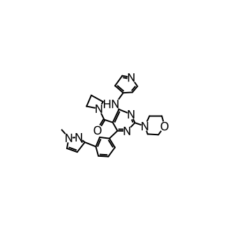 Cn1ccc(-c2cccc(-c3nc(N4CCOCC4)nc(Nc4ccncc4)c3C(=O)N3CCC3)c2)n1